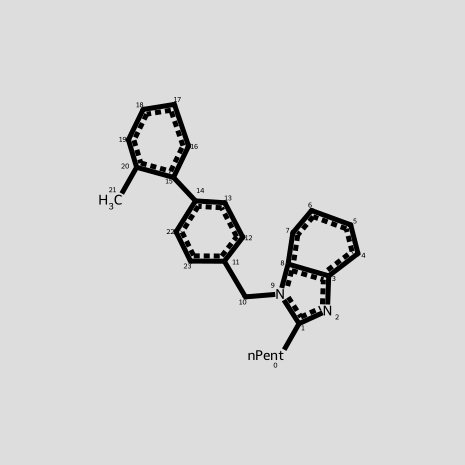 CCCCCc1nc2ccccc2n1Cc1ccc(-c2ccccc2C)cc1